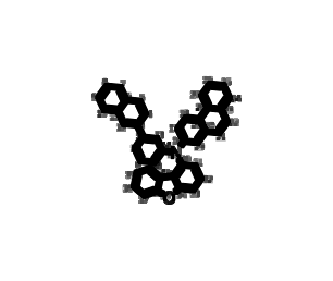 c1cc(-c2ccc3ccccc3c2)cc(N(c2ccc3c(ccc4ccccc43)c2)c2cccc3oc4ccccc4c23)c1